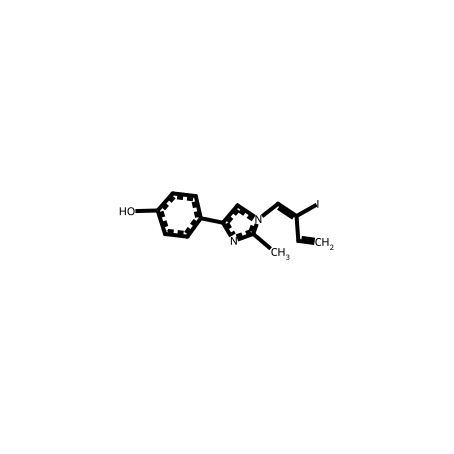 C=C/C(I)=C\n1cc(-c2ccc(O)cc2)nc1C